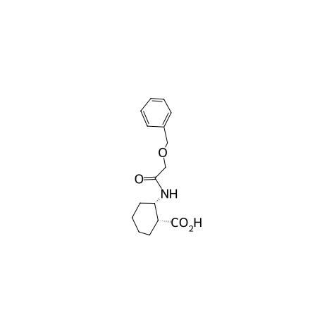 O=C(COCc1ccccc1)N[C@H]1CCCC[C@H]1C(=O)O